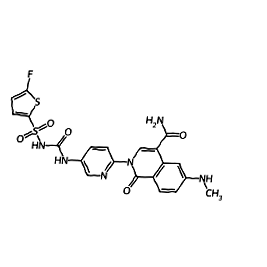 CNc1ccc2c(=O)n(-c3ccc(NC(=O)NS(=O)(=O)c4ccc(F)s4)cn3)cc(C(N)=O)c2c1